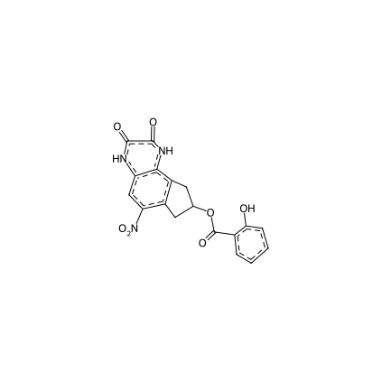 O=C(OC1Cc2c([N+](=O)[O-])cc3[nH]c(=O)c(=O)[nH]c3c2C1)c1ccccc1O